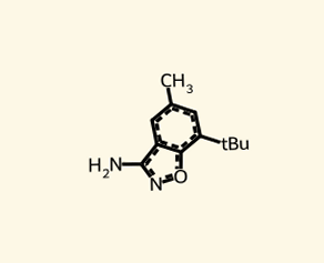 Cc1cc(C(C)(C)C)c2onc(N)c2c1